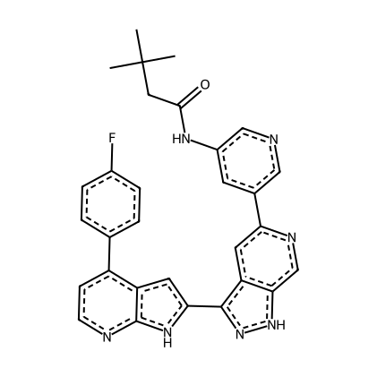 CC(C)(C)CC(=O)Nc1cncc(-c2cc3c(-c4cc5c(-c6ccc(F)cc6)ccnc5[nH]4)n[nH]c3cn2)c1